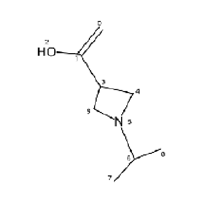 C=C(O)C1CN(C(C)C)C1